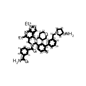 CCc1nc2c(cnn2CC)c(NC2CCOCC2)c1CN(Cc1ccc(F)c(-c2cccc(CN3CC[C@H](N)C3)c2)c1)C(=O)c1cccc(C(N)=O)c1